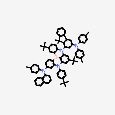 Cc1ccc(N(c2ccc(C)cc2)c2cc3c(c(N4c5ccc(C(C)(C)C)cc5B5c6ccc(N(c7ccc(C)cc7)c7cccc8ccccc78)cc6N(c6ccc(C(C)(C)C)cc6)c6cc(C(C)(C)C)cc4c65)c2)C(C)(C)c2ccccc2-3)cc1